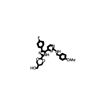 COc1ccc(CNc2nccc(-c3[nH]c(C4OCC(CO)CO4)nc3-c3ccc(F)cc3)n2)cc1